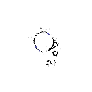 CO[C@H]1/C=C/O[C@@]2(C)Oc3c(C)c(O)c4c(=O)c(c5oc6cc(OCCN(C)c7ccccn7)cc(O)c6nc-5c4c3C2=O)NC(=O)/C(C)=C\C=C\[C@H](C)[C@H](O)[C@@H](C)[C@@H](C)[C@@H](C)[C@H](OC(C)=O)[C@@H]1C